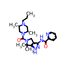 CCCN1C[C@H](C)N(C(=O)N2Cc3c(NC(=O)c4ccccn4)n[nH]c3C2(C)C)C[C@@H]1C